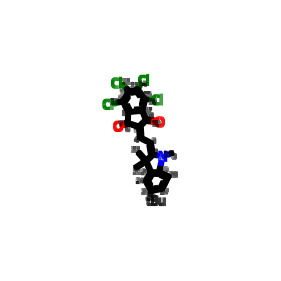 CN1/C(=C/C=C2C(=O)c3c(Cl)c(Cl)c(Cl)c(Cl)c3C2=O)C(C)(C)c2cc(C(C)(C)C)ccc21